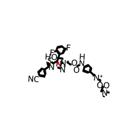 C[C@@H](c1nc(-c2ccc(C#N)cc2)cs1)[C@](O)(C[N+]1(CCOC(=O)Nc2ccc(C#[N+]COC(=O)CN(C)C)cc2)C=NC=N1)c1cc(F)ccc1F